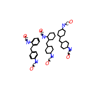 O=C=NC1CCC(CC2CCC(N=C=O)CC2)CC1.O=C=NC1CCC(CC2CCCCC2N=C=O)CC1.O=C=Nc1ccc(Cc2ccccc2N=C=O)cc1